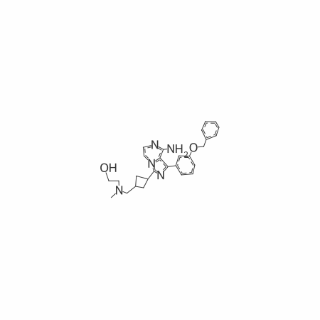 CN(CCO)CC1CC(c2nc(-c3cccc(OCc4ccccc4)c3)c3c(N)nccn23)C1